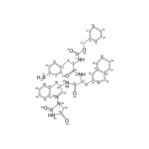 Bc1ccc(CC(NC(=O)OCc2ccccc2)C(=O)NC(Cc2ccc3ccccc3c2)C(=O)NC(C=NN2CC(=O)NC2=O)Cc2ccccc2)cc1